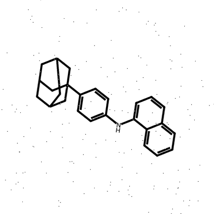 c1ccc2c(Nc3ccc(C45CC6CC(CC(C6)C4)C5)cc3)cccc2c1